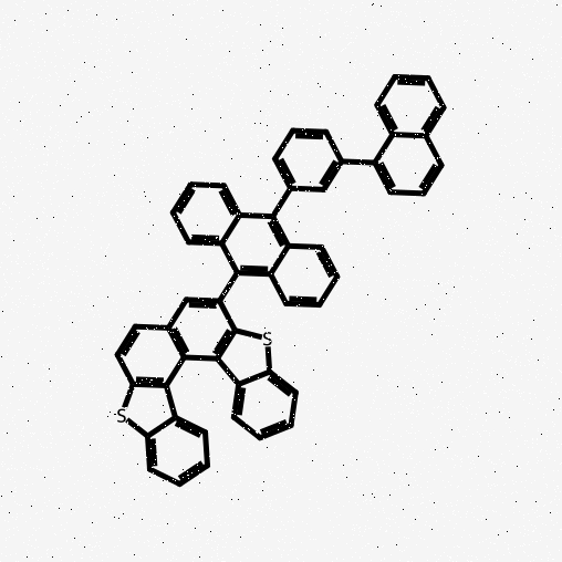 c1cc(-c2cccc3ccccc23)cc(-c2c3ccccc3c(-c3cc4ccc5sc6ccccc6c5c4c4c3sc3ccccc34)c3ccccc23)c1